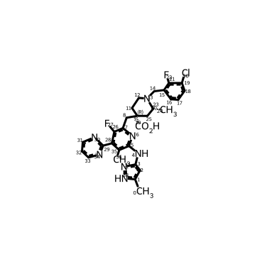 Cc1cc(Nc2nc(C[C@@]3(C(=O)O)CCN(Cc4cccc(Cl)c4F)[C@H](C)C3)c(F)c(-c3ncccn3)c2C)n[nH]1